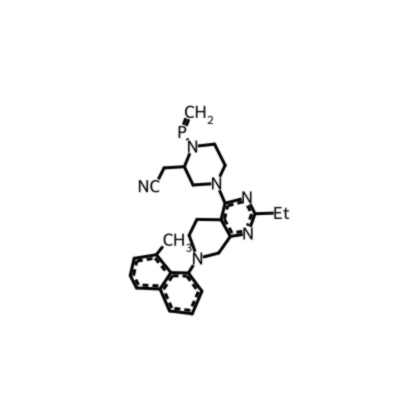 C=PN1CCN(c2nc(CC)nc3c2CCN(c2cccc4cccc(C)c24)C3)CC1CC#N